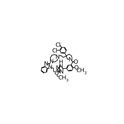 CCOCCn1c(N2CCCN(CCC3(c4ccc(Cl)c(Cl)c4)CCN(C(=O)c4cc(-c5nnn[nH]5)ccc4OC)C3)CC2)nc2ccccc21